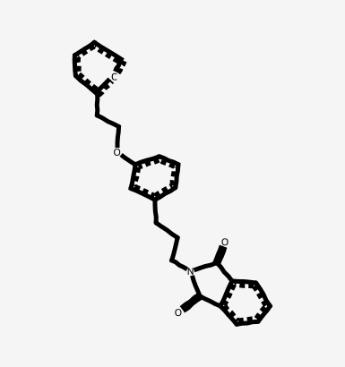 O=C1c2ccccc2C(=O)N1CCCc1cccc(OCCc2ccccc2)c1